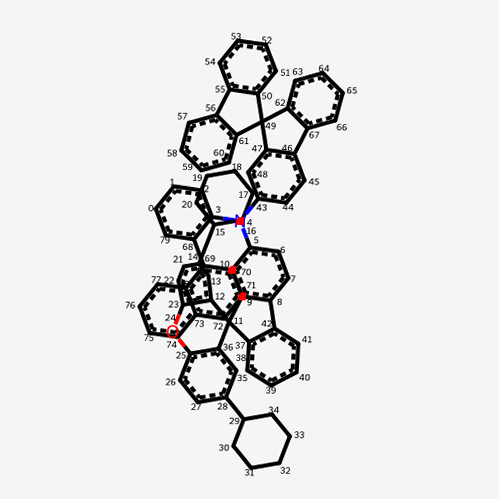 c1ccc(N(c2ccc3c(c2)C2(c4cc(C5CCCCC5)ccc4Oc4ccc(C5CCCCC5)cc42)c2ccccc2-3)c2ccc3c(c2)C2(c4ccccc4-c4ccccc42)c2ccccc2-3)c(-c2cccc3ccccc23)c1